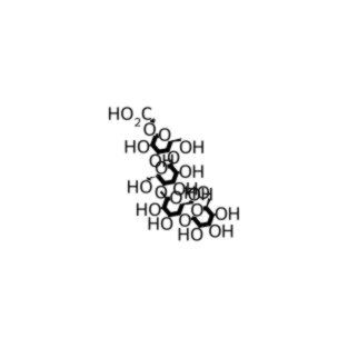 O=C(O)COC1O[C@@H](CO)[C@H](O[C@@H]2O[C@@H](CO)[C@H](O[C@H]3O[C@@H](CO)[C@H](O[C@H]4O[C@@H](CO)[C@H](O)[C@@H](O)[C@@H]4O)[C@@H](O)[C@@H]3O)[C@@H](O)[C@@H]2O)[C@@H](O)[C@@H]1O